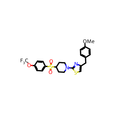 COc1ccc(Cc2csc(N3CCC(S(=O)(=O)c4ccc(OC(F)(F)F)cc4)CC3)n2)cc1